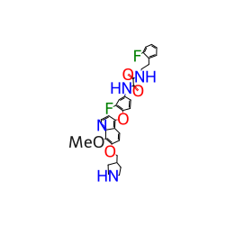 COc1c(OCC2CCNCC2)ccc2c(Oc3ccc(NC(=O)C(=O)NCCc4ccccc4F)cc3F)ccnc12